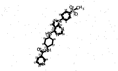 CS(=O)(=O)c1ccc(-n2ncc3c(NC4CCC(NC(=O)c5cccnc5)CC4)ncnc32)cc1